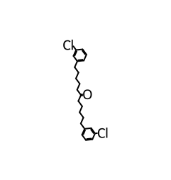 O=C(CCCCCc1cccc(Cl)c1)CCCCCc1cccc(Cl)c1